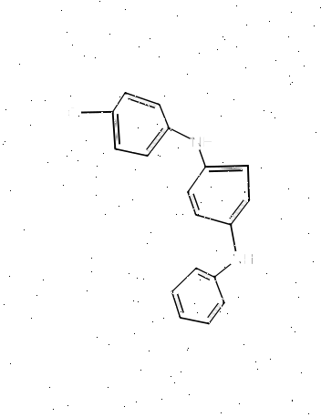 Clc1ccc(Nc2ccc(Nc3ccccc3)cc2)cc1